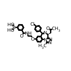 CC(=O)C[C@@H]1N=C(c2ccc(Cl)cc2)c2cc(OCCNC(=O)c3cccc(B(O)O)c3)ccc2-n2c(C)nnc21